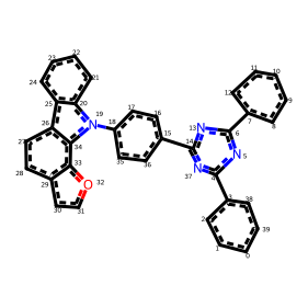 c1ccc(-c2nc(-c3ccccc3)nc(-c3ccc(-n4c5ccccc5c5ccc6ccoc6c54)cc3)n2)cc1